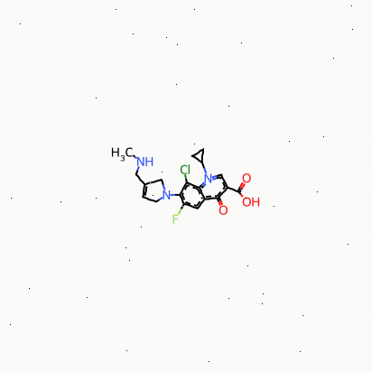 CNCC1=CCN(c2c(F)cc3c(=O)c(C(=O)O)cn(C4CC4)c3c2Cl)C1